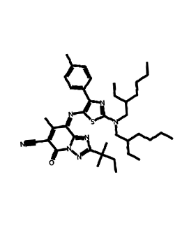 CCCCC(CC)CN(CC(CC)CCCC)c1nc(-c2ccc(C)cc2)c(/N=C2/C(C)=C(C#N)C(=O)n3nc(C(C)(C)CC)nc32)s1